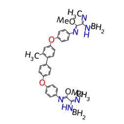 BNC(=N/C)/C(=N/c1ccc(Oc2ccc(-c3ccc(Oc4ccc(/N=C(OC)/C(=N\C)NB)cc4)cc3C)cc2)cc1)OC